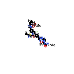 COC(=O)N[C@H](C(=O)N1CCC[C@H]1c1ncc(-c2cc(F)c3c(c2)OC(c2cnc(C4CC4)s2)n2c-3cc3cc(-c4cnc([C@@H]5C[C@H]6C[C@H]6N5C(=O)OC(C)(C)C)[nH]4)ccc32)[nH]1)C(C)C